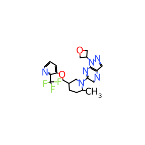 CC1CCC(COc2cccnc2C(F)(F)F)CN1c1cnc2cnn(C3COC3)c2n1